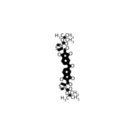 CC(C)(C)OC(=O)N1CSC[C@H]1C(=O)C1C(=O)c2ccc(C(=O)c3ccc4c(c3)C(=O)C(C(=O)[C@@H]3CSCN3C(=O)OC(C)(C)C)C4=O)cc2C1=O